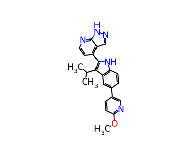 COc1ccc(-c2ccc3[nH]c(-c4ccnc5[nH]ncc45)c(C(C)C)c3c2)cn1